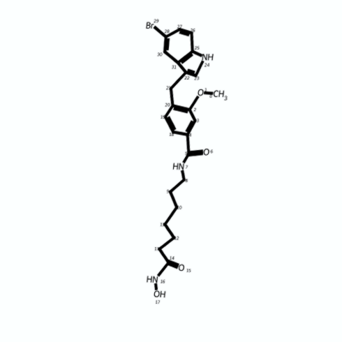 COc1cc(C(=O)NCCCCCCC(=O)NO)ccc1Cc1c[nH]c2ccc(Br)cc12